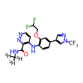 [2H]C([2H])([2H])NC(=O)c1nnccc1Nc1ccc(-c2cnn(C(F)(F)F)c2)cc1OCC(F)F